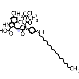 CCCCCCCCCCCCCCCCNc1ccc(N2C(=O)/C(=C/c3c(C(=O)O)[nH]c4cc(Cl)cc(Cl)c34)CN2C(=O)OC(C)(C)C)cc1